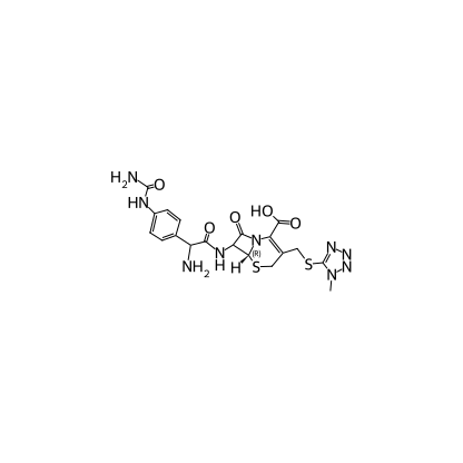 Cn1nnnc1SCC1=C(C(=O)O)N2C(=O)C(NC(=O)C(N)c3ccc(NC(N)=O)cc3)[C@H]2SC1